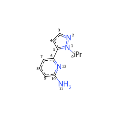 CC(C)n1nccc1-c1cccc(N)n1